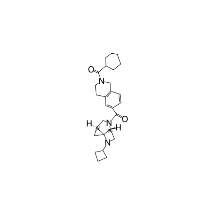 O=C(C1CCCCC1)N1CCc2cc(C(=O)N3C[C@@H]4CC45[C@H]3CN5C3CCC3)ccc2C1